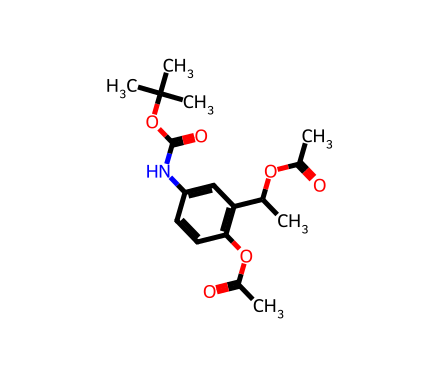 CC(=O)Oc1ccc(NC(=O)OC(C)(C)C)cc1C(C)OC(C)=O